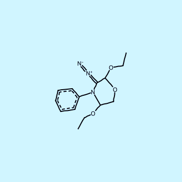 CCOC1OCC(OCC)N(c2ccccc2)C1=[N+]=[N-]